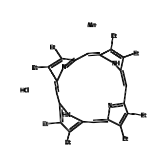 CCC1=C(CC)c2cc3[nH]c(cc4nc(cc5[nH]c(cc1n2)c(CC)c5CC)C(CC)=C4CC)c(CC)c3CC.Cl.[Mn]